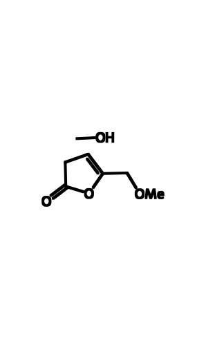 CO.COCC1=CCC(=O)O1